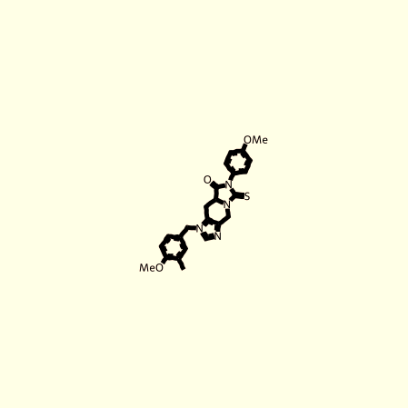 COc1ccc(N2C(=O)C3Cc4c(ncn4Cc4ccc(OC)c(C)c4)CN3C2=S)cc1